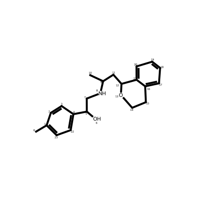 Cc1ccc(C(O)CNC(C)CC2OCCc3ccccc32)cc1